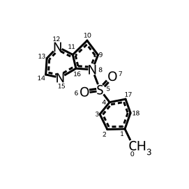 Cc1ccc(S(=O)(=O)n2ccc3nccnc32)cc1